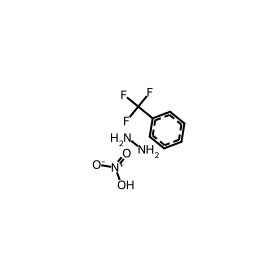 FC(F)(F)c1ccccc1.NN.O=[N+]([O-])O